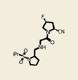 CC(C)S(=O)(=O)N1CCCC1CNCC(=O)N1C[C@@H](F)C[C@H]1C#N